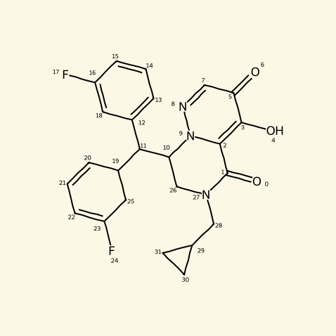 O=C1c2c(O)c(=O)cnn2C(C(c2cccc(F)c2)C2C=CC=C(F)C2)CN1CC1CC1